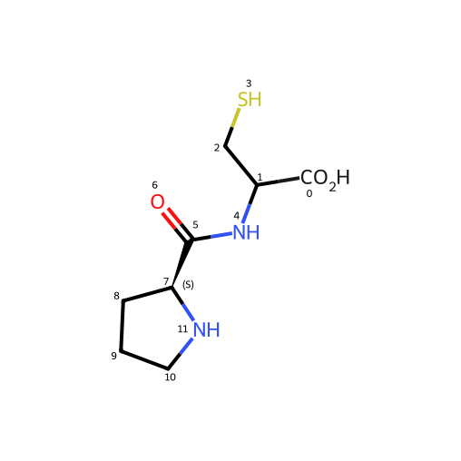 O=C(O)C(CS)NC(=O)[C@@H]1CCCN1